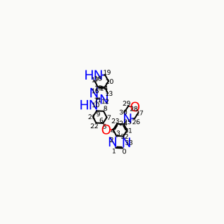 c1cnc2c(O[C@H]3CC[C@@H](Nc4ncc5c(n4)CNCC5)CC3)cc(N3CCOCC3)cc2n1